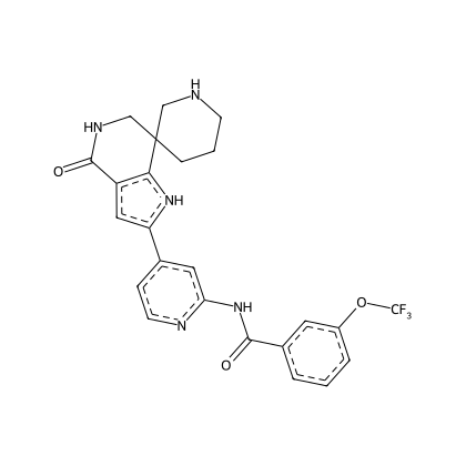 O=C(Nc1cc(-c2cc3c([nH]2)C2(CCCNC2)CNC3=O)ccn1)c1cccc(OC(F)(F)F)c1